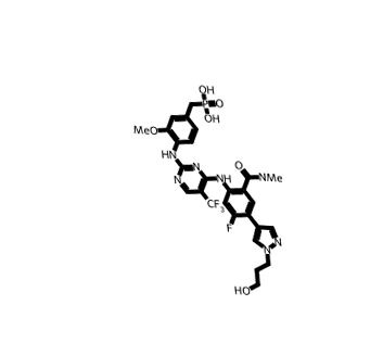 CNC(=O)c1cc(-c2cnn(CCCO)c2)c(F)cc1Nc1nc(Nc2ccc(CP(=O)(O)O)cc2OC)ncc1C(F)(F)F